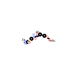 CCCCOCCOc1ccc(-c2ccc(OC(F)(F)F)c(/C=C/C(=O)Nc3ccc([S@+]([O-])Cc4c(C)ncn4CC)cc3)c2)cc1